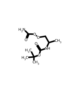 CC(COOC(N)=O)NC(=O)OC(C)(C)C